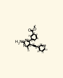 COC(=O)c1cccc(-c2nc(N)nc(C)c2C#Cc2cccnc2)c1